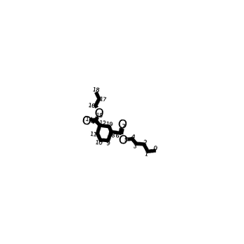 CCCCCOC(=O)C1CCCC(C(=O)OCCC)C1